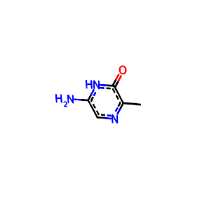 Cc1ncc(N)[nH]c1=O